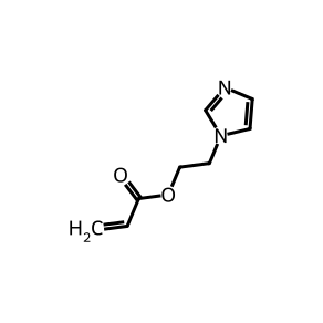 C=CC(=O)OCCn1ccnc1